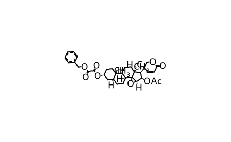 CC(=O)O[C@H]1[C@H]2O[C@]23[C@@H]2CC[C@@H]4C[C@@H](OC(=O)C(=O)OCc5ccccc5)CC[C@]4(C)[C@H]2CC[C@]3(C)[C@H]1C1(C)C=CC(=O)OC1